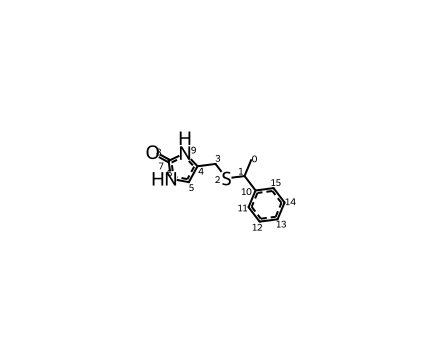 CC(SCc1c[nH]c(=O)[nH]1)c1ccccc1